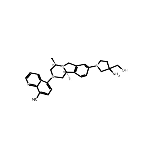 C[C@@H]1CN(c2ccc(C#N)c3ncccc23)C[C@@H]2c3ccc(N4CCC(N)(CO)C4)cc3CN12